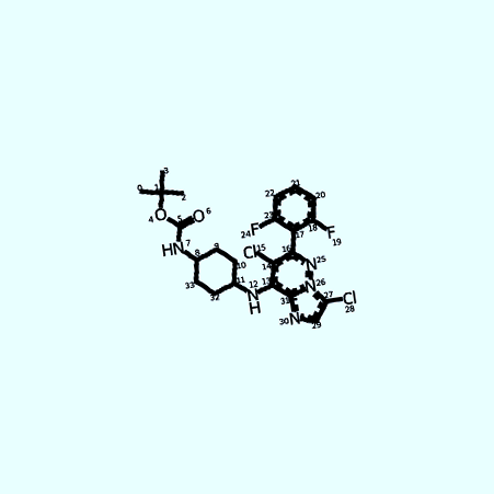 CC(C)(C)OC(=O)NC1CCC(Nc2c(Cl)c(-c3c(F)cccc3F)nn3c(Cl)cnc23)CC1